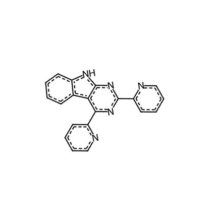 c1ccc(-c2nc(-c3ccccn3)c3c(n2)[nH]c2ccccc23)nc1